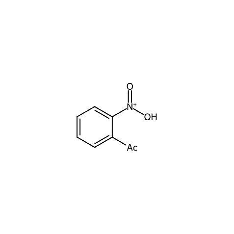 CC(=O)c1ccccc1[N+](=O)O